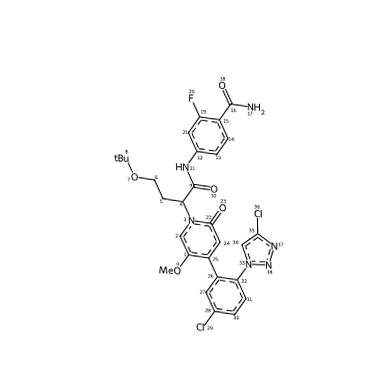 COc1cn(C(CCOC(C)(C)C)C(=O)Nc2ccc(C(N)=O)c(F)c2)c(=O)cc1-c1cc(Cl)ccc1-n1cc(Cl)nn1